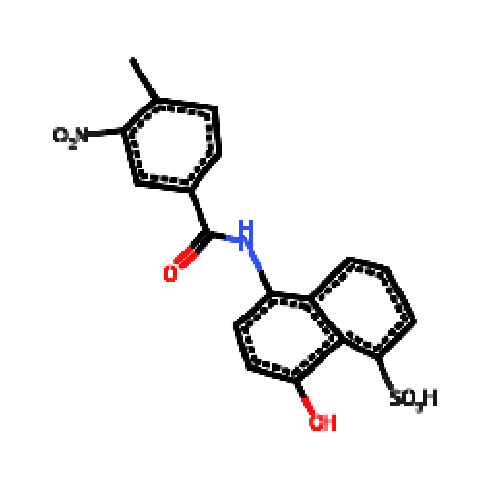 Cc1ccc(C(=O)Nc2ccc(O)c3c(S(=O)(=O)O)cccc23)cc1[N+](=O)[O-]